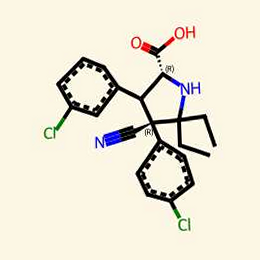 CCC1(CC)N[C@@H](C(=O)O)C(c2cccc(Cl)c2)[C@@]1(C#N)c1ccc(Cl)cc1